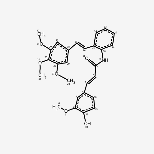 COc1cc(/C=C/C(=O)Nc2ccccc2C=Cc2cc(OC)c(OC)c(OC)c2)ccc1O